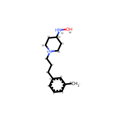 [CH2]c1cccc(CCCN2CCC(NO)CC2)c1